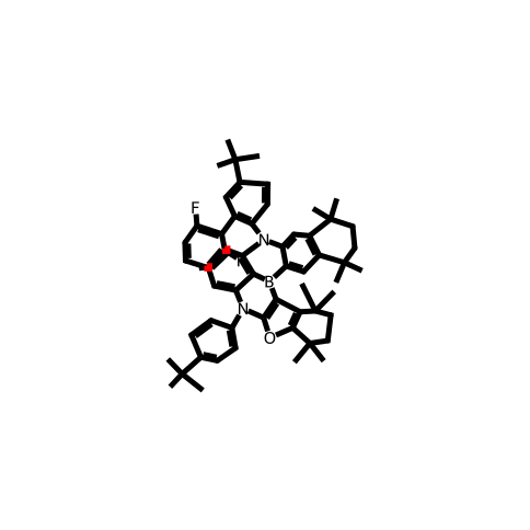 Cc1cc2c3c(c1)N(c1ccc(C(C)(C)C)cc1)c1oc4c(c1B3c1cc3c(cc1N2c1ccc(C(C)(C)C)cc1-c1c(F)cccc1F)C(C)(C)CCC3(C)C)C(C)(C)CCC4(C)C